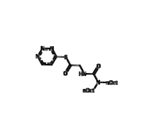 CCCCCCCCN(CCCCCCCC)C(=O)NCC(=O)Sc1ccnnn1